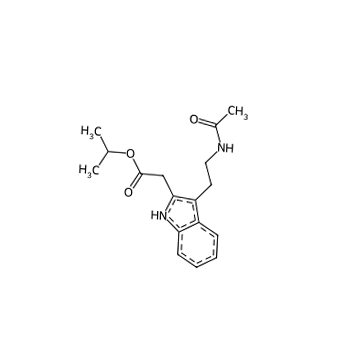 CC(=O)NCCc1c(CC(=O)OC(C)C)[nH]c2ccccc12